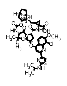 CCC1C[C@]1(NC(=O)[C@@H]1C[C@@H](Oc2cc(-c3csc(NC(C)C)n3)nc3c(Cl)c(OC)ccc23)CN1C(=O)[C@@H](NC(=O)O[C@@H]1C[C@H]2CC[C@@H](C1)O2)C(C)(C)C)C(=O)O